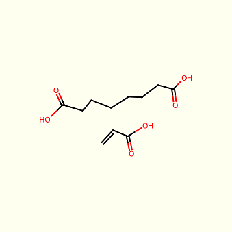 C=CC(=O)O.O=C(O)CCCCCCC(=O)O